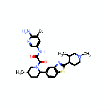 CCc1cc(NC(=O)C(=O)N2C[C@@H](C)CCC2c2ccc3sc(C4CCN(C)CC4C)nc3c2)cnc1N